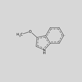 COc1c[nH]c2c[c]ccc12